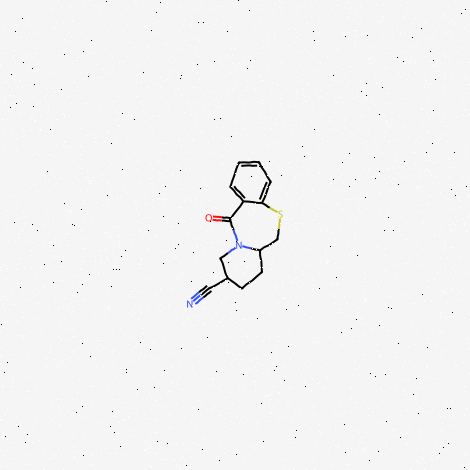 N#CC1CCC2CSc3ccccc3C(=O)N2C1